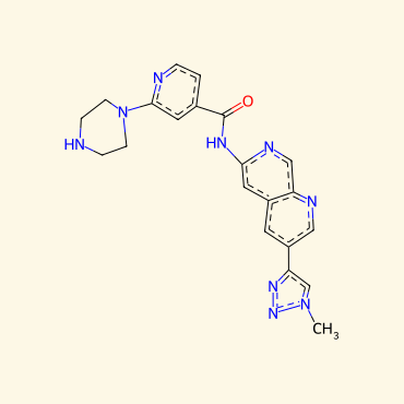 Cn1cc(-c2cnc3cnc(NC(=O)c4ccnc(N5CCNCC5)c4)cc3c2)nn1